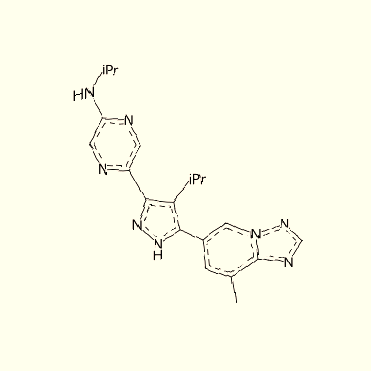 Cc1cc(-c2[nH]nc(-c3cnc(NC(C)C)cn3)c2C(C)C)cn2ncnc12